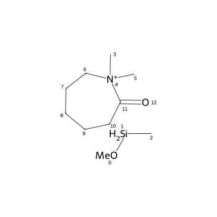 CO[SiH2]C.C[N+]1(C)CCCCCC1=O